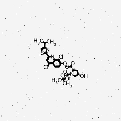 CC(C)c1csc(-c2cc(Cl)c3ccc(OOC(=O)[C@@H]4C[C@@H](O)CN4C(=O)OC(C)(C)C)c(Cl)c3n2)n1